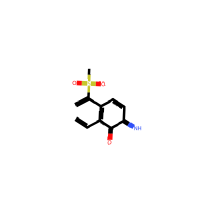 C=CC1=C(C(=C)S(C)(=O)=O)C=CC(=N)C1=O